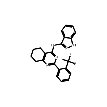 FC(F)(F)c1ccccc1-c1nc2c(c(Nc3n[nH]c4ccccc34)n1)CCCC2